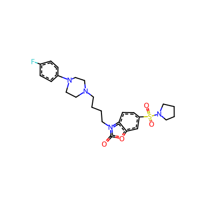 O=c1oc2cc(S(=O)(=O)N3CCCC3)ccc2n1CCCCN1CCN(c2ccc(F)cc2)CC1